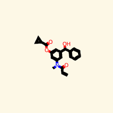 C=CC(=O)N(C)c1cc(OC(=O)C2CC2)cc(C(O)c2ccccc2)c1